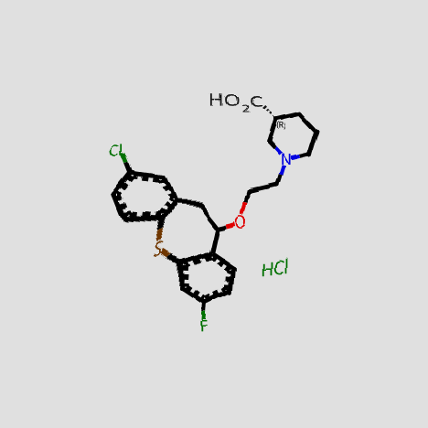 Cl.O=C(O)[C@@H]1CCCN(CCOC2Cc3cc(Cl)ccc3Sc3cc(F)ccc32)C1